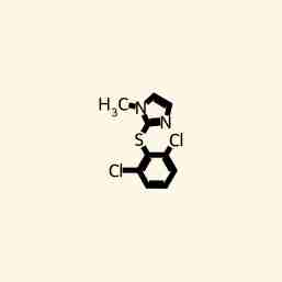 Cn1ccnc1Sc1c(Cl)cccc1Cl